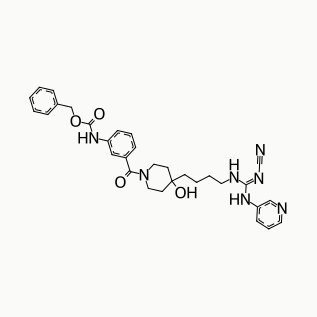 N#C/N=C(\NCCCCC1(O)CCN(C(=O)c2cccc(NC(=O)OCc3ccccc3)c2)CC1)Nc1cccnc1